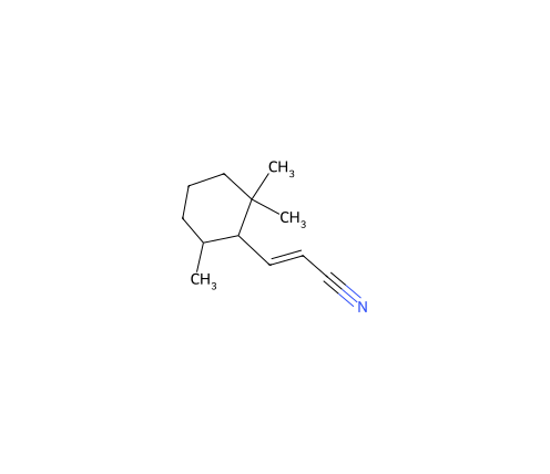 CC1CCCC(C)(C)C1C=CC#N